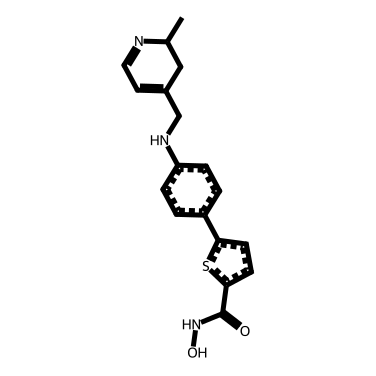 CC1CC(CNc2ccc(-c3ccc(C(=O)NO)s3)cc2)=CC=N1